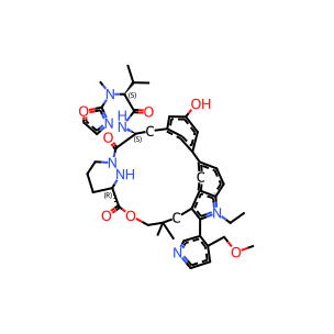 CCn1c(-c2cnccc2COC)c2c3cc(ccc31)-c1cc(O)cc(c1)C[C@H](NC(=O)[C@H](C(C)C)N(C)c1ncco1)C(=O)N1CCC[C@@](C)(N1)C(=O)OCC(C)(C)C2